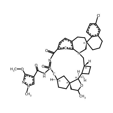 COc1nn(C)cc1C(=O)NS1(=O)=NC(=O)c2ccc3c(c2)N(C[C@@H]2CC[C@H]2[C@H]2OC(C)C[C@]24CC[C@H](C4)C1)C[C@@]1(CCCc2cc(Cl)ccc21)CC3